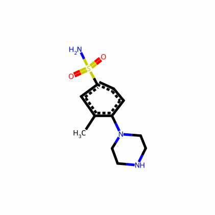 Cc1cc(S(N)(=O)=O)ccc1N1CCNCC1